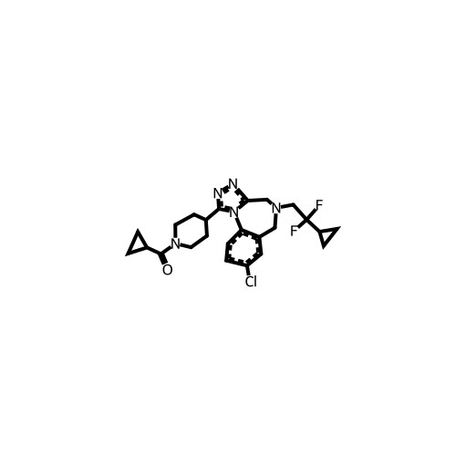 O=C(C1CC1)N1CCC(c2nnc3n2-c2ccc(Cl)cc2CN(CC(F)(F)C2CC2)C3)CC1